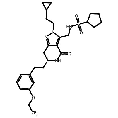 O=C1N[C@@H](CCc2cccc(OCC(F)(F)F)c2)Cc2nn(CCC3CC3)c(CNS(=O)(=O)C3CCCC3)c21